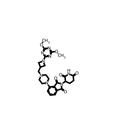 COc1nc(OC)nc(N2CC(CN3CCN(c4cccc5c4C(=O)N(C4CCC(=O)NC4=O)C5=O)CC3)C2)n1